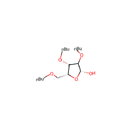 CCCCOC[C@H]1O[C@@H](O)C(OCCCC)[C@H]1OCCCC